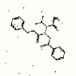 CC(C)C(C(N)=O)N(CC(=O)c1ccccc1)C(=O)CCc1ccccc1